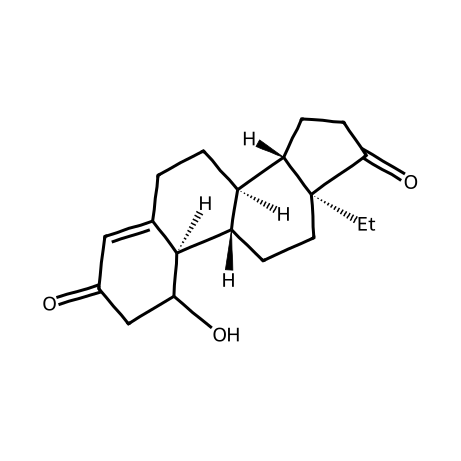 CC[C@]12CC[C@H]3[C@@H](CCC4=CC(=O)CC(O)[C@@H]43)[C@@H]1CCC2=O